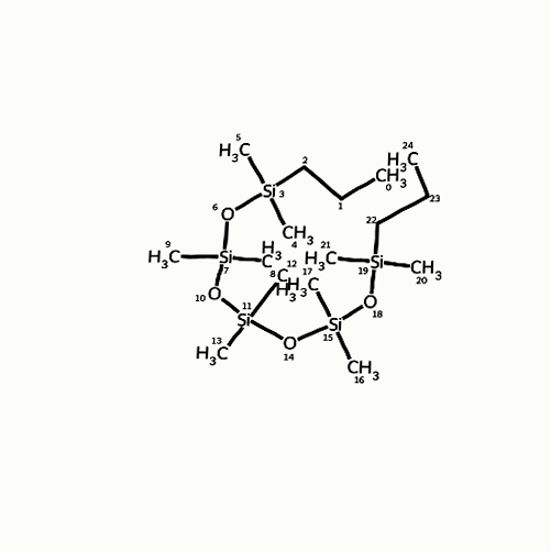 CCC[Si](C)(C)O[Si](C)(C)O[Si](C)(C)O[Si](C)(C)O[Si](C)(C)CCC